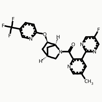 Cc1cnc(C(=O)N2C[C@H]3C[C@@H](Oc4ccc(C(F)(F)F)cn4)[C@@H]2C3)c(-c2ncc(F)cn2)c1